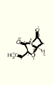 C=CC1O[C@@H]2CC(=O)N2C1=O